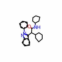 O=C(NC1CCCCC1)C(c1c2ccccc2nn1-c1ccccc1)C1CCCCC1